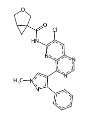 Cn1cc(-c2ncnc3cc(Cl)c(NC(=O)C45COCC4C5)nc23)c(-c2ccccc2)n1